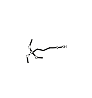 CO[Si](CCCSS)(OC)OC